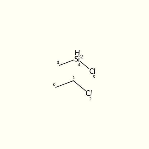 CCCl.C[SiH2]Cl